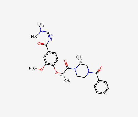 COc1cc(C(=O)/N=C\N(C)C)ccc1O[C@@H](C)C(=O)N1CCN(C(=O)c2ccccc2)C[C@H]1C